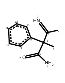 CC(=N)C(C)(C(N)=O)c1ccccc1